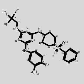 Cc1cc(Nc2nc(NC3CCN(S(=O)(=O)c4ccccc4)CC3)nc(OCC(F)(F)F)n2)ccc1F